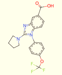 O=C(O)c1ccc2c(c1)nc(N1CCCC1)n2-c1ccc(OC(F)(F)F)cc1